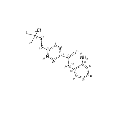 CCC(C)(C)SSc1ccc(C(=O)Nc2ccccc2N)cn1